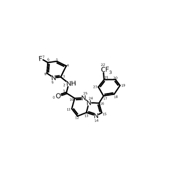 O=C(Nc1ccc(F)cn1)c1ccc2ncc(-c3cccc(C(F)(F)F)c3)n2n1